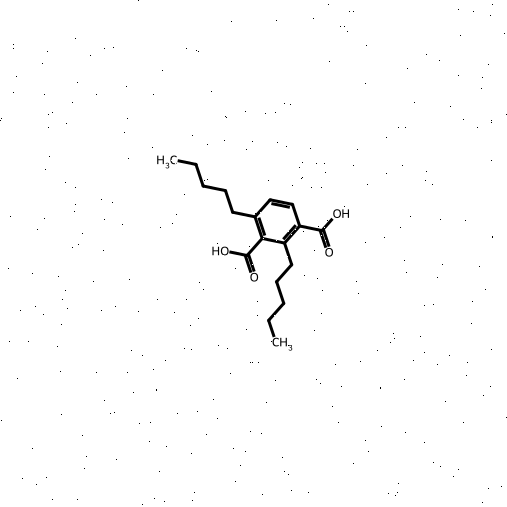 CCCCCc1ccc(C(=O)O)c(CCCCC)c1C(=O)O